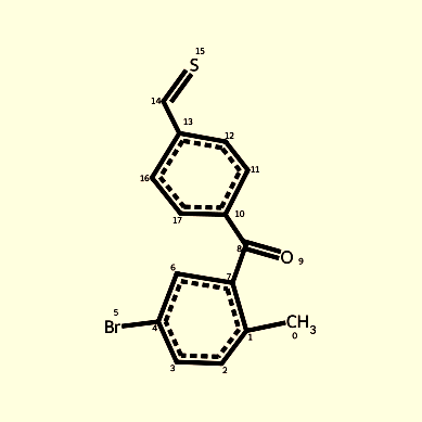 Cc1ccc(Br)cc1C(=O)c1ccc(C=S)cc1